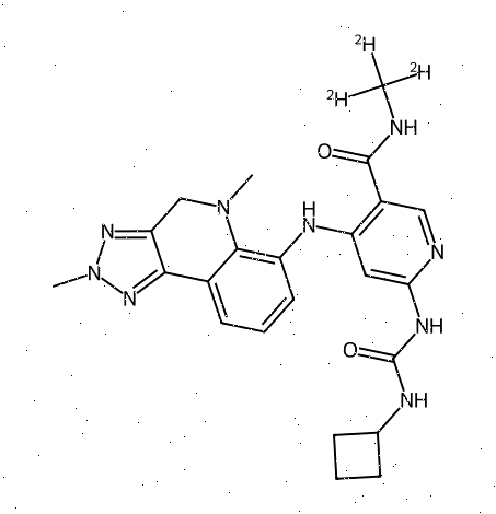 [2H]C([2H])([2H])NC(=O)c1cnc(NC(=O)NC2CCC2)cc1Nc1cccc2c1N(C)Cc1nn(C)nc1-2